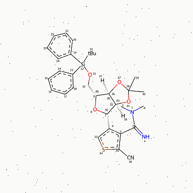 CN(C)C(=N)c1c([C@@H]2O[C@H](CO[Si](c3ccccc3)(c3ccccc3)C(C)(C)C)[C@H]3OC(C)(C)O[C@H]32)csc1C#N